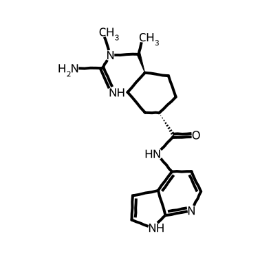 CC([C@H]1CC[C@H](C(=O)Nc2ccnc3[nH]ccc23)CC1)N(C)C(=N)N